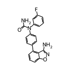 NC(=O)N(c1ccc(-c2cccc3onc(N)c23)cc1)c1cccc(F)c1